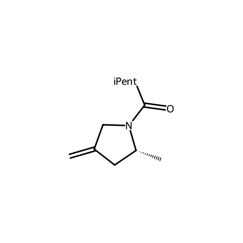 C=C1C[C@@H](C)N(C(=O)C(C)CCC)C1